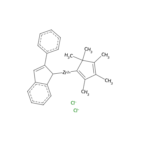 CC1=C(C)C(C)(C)[C]([Zr+2][CH]2C(c3ccccc3)=Cc3ccccc32)=C1C.[Cl-].[Cl-]